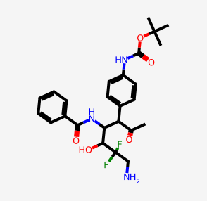 CC(=O)C(c1ccc(NC(=O)OC(C)(C)C)cc1)C(NC(=O)c1ccccc1)C(O)C(F)(F)CN